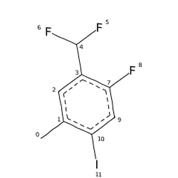 Cc1cc(C(F)F)c(F)cc1I